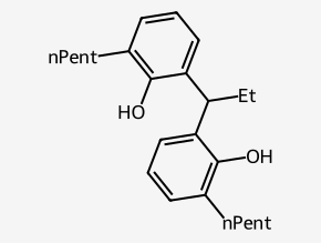 CCCCCc1cccc(C(CC)c2cccc(CCCCC)c2O)c1O